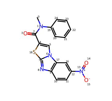 CN(C(=O)c1cn2c(nc3ccc([N+](=O)[O-])cc32)s1)c1ccccc1